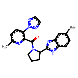 CSc1ccc2[nH]c(C3CCCN3C(=O)c3nc(C)ccc3-n3nccn3)nc2c1